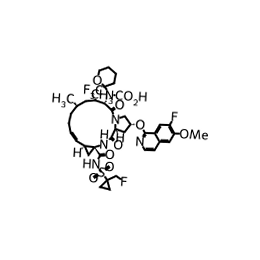 COc1cc2ccnc(O[C@@H]3C[C@H]4C(=O)N[C@]5(C(=O)NS(=O)(=O)C6(CF)CC6)C[C@H]5/C=C\CC[C@@H](C)C[C@@H](C)[C@H](N(C(=O)O)C5(C(F)(F)F)CCCCO5)C(=O)N4C3)c2cc1F